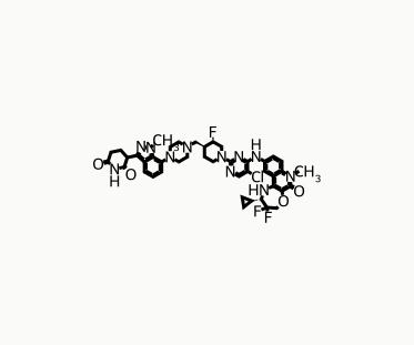 Cn1nc(C2CCC(=O)NC2=O)c2cccc(N3CCN(C[C@@H]4CCN(c5ncc(Cl)c(Nc6ccc7c(c6)c6c(c(=O)n7C)OCC(F)(F)[C@H](C7CC7)N6)n5)C[C@H]4F)CC3)c21